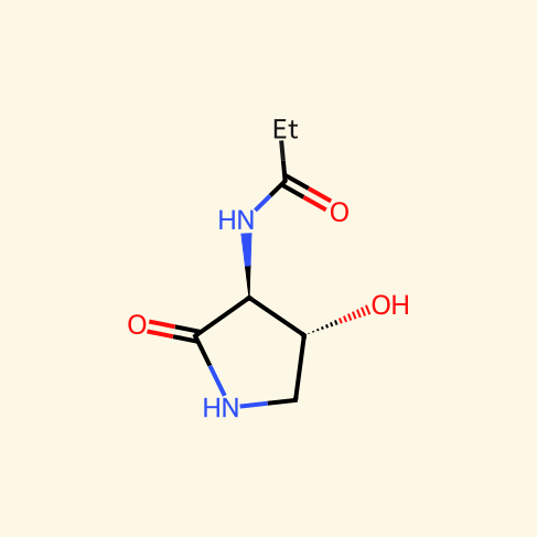 CCC(=O)N[C@@H]1C(=O)NC[C@H]1O